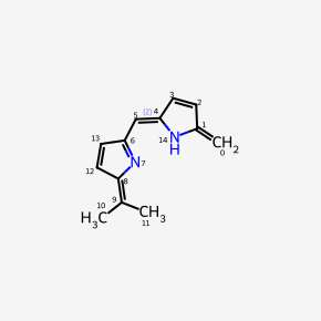 C=c1cc/c(=C/C2=NC(=C(C)C)C=C2)[nH]1